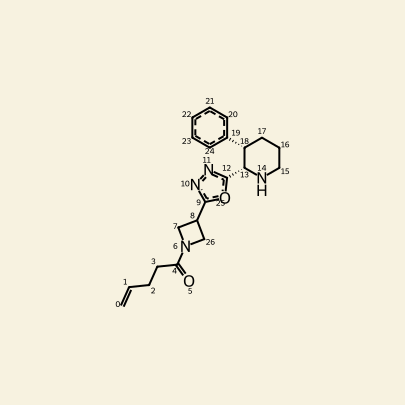 C=CCCC(=O)N1CC(c2nnc([C@H]3NCCC[C@H]3c3ccccc3)o2)C1